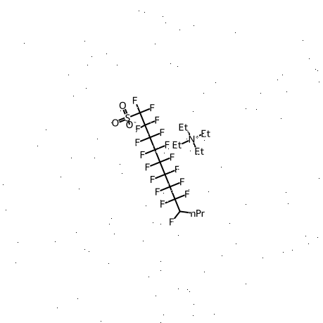 CCCC(F)C(F)(F)C(F)(F)C(F)(F)C(F)(F)C(F)(F)C(F)(F)C(F)(F)C(F)(F)S(=O)(=O)[O-].CC[N+](CC)(CC)CC